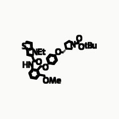 CCn1c(C(=O)Nc2cccc(COC)c2COc2ccc(OC[C@@H]3CCN(C(=O)OC(C)(C)C)C3)cc2)cc2sccc21